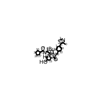 Cc1ncsc1-c1ccc(CNC(=O)[C@@H]2C[C@@H](O)CN2C(=O)C(NC(=O)C2CCCC2)C(C)(C)C)cc1